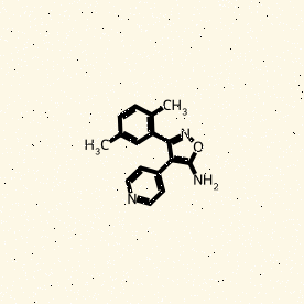 Cc1ccc(C)c(-c2noc(N)c2-c2ccncc2)c1